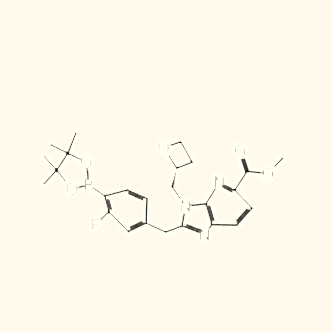 COC(=O)c1ccc2nc(Cc3ccc(B4OC(C)(C)C(C)(C)O4)c(F)c3)n(C[C@@H]3CCO3)c2n1